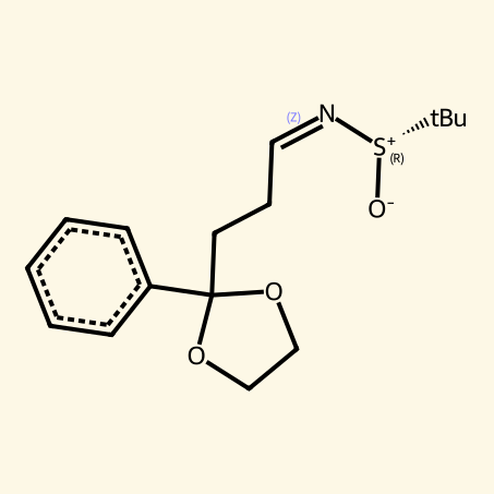 CC(C)(C)[S@+]([O-])/N=C\CCC1(c2ccccc2)OCCO1